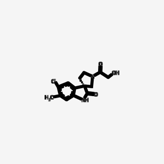 Cc1cc2c(cc1Cl)[C@]1(CCN(C(=O)CO)C1)C(=O)N2